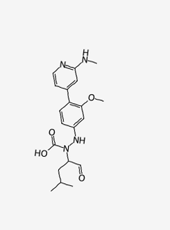 CNc1cc(-c2ccc(NN(C(=O)O)C(C=O)CC(C)C)cc2OC)ccn1